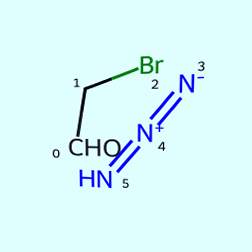 O=CCBr.[N-]=[N+]=N